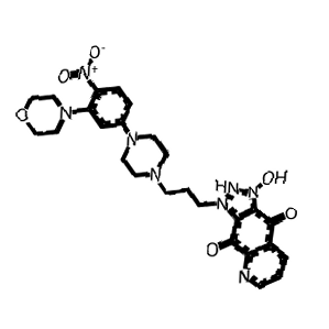 O=c1c2n(O)[nH]n(CCCN3CCN(c4ccc([N+](=O)[O-])c(N5CCOCC5)c4)CC3)c=2c(=O)c2ncccc12